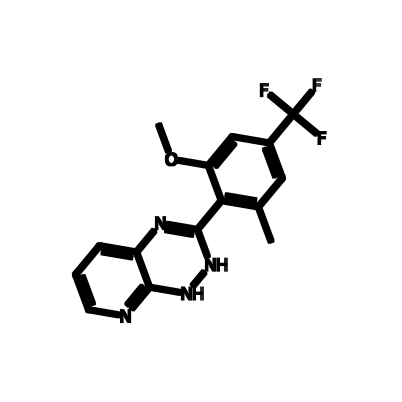 COc1cc(C(F)(F)F)cc(C)c1C1=Nc2cccnc2NN1